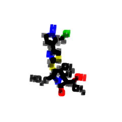 C[C@@H](O)[C@H]1C(=O)N2C(C(=O)O)=C(Sc3nc(C4=CCN[C@@H]4CCl)cs3)[C@H](C)[C@H]12